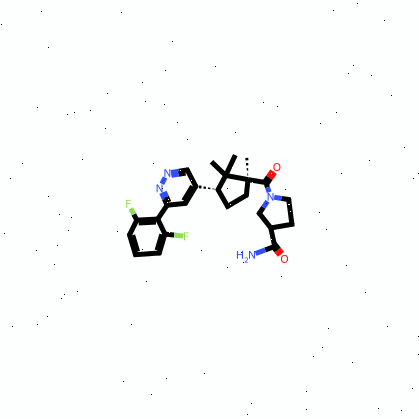 CC1(C)[C@@H](c2cnnc(-c3c(F)cccc3F)c2)CC[C@]1(C)C(=O)N1CCC(C(N)=O)C1